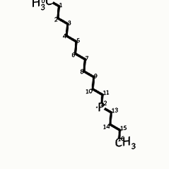 CCCCCCCCCCCC[P]CCCC